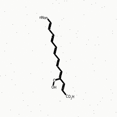 CCCCCCCCCC=CC=CC=CC=CC=C(C=CC(=O)O)OO